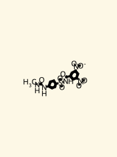 CNC(=O)Nc1ccc(S(=O)(=O)NC(=O)c2cc([N+](=O)[O-])cc([N+](=O)[O-])c2)cc1